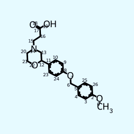 COc1ccc(COc2ccc(C3CN(CCC(=O)O)CCO3)cc2)cc1